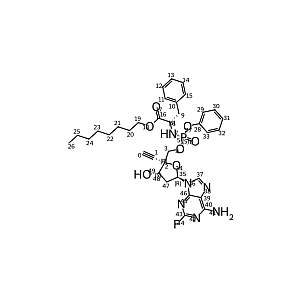 C#C[C@]1(CO[P@@](=O)(N[C@@H](Cc2ccccc2)C(=O)OCCCCCCCC)Oc2ccccc2)O[C@@H](n2cnc3c(N)nc(F)nc32)C[C@@H]1O